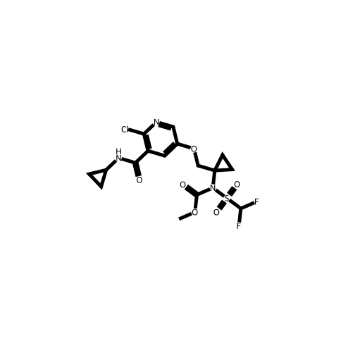 COC(=O)N(C1(COc2cnc(Cl)c(C(=O)NC3CC3)c2)CC1)S(=O)(=O)C(F)F